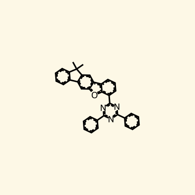 CC1(C)c2ccccc2-c2cc3oc4c(-c5nc(-c6ccccc6)nc(-c6ccccc6)n5)cccc4c3cc21